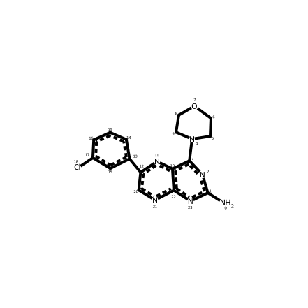 Nc1nc(N2CCOCC2)c2nc(-c3cccc(Cl)c3)cnc2n1